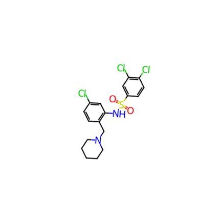 O=S(=O)(Nc1cc(Cl)ccc1CN1CCCCC1)c1ccc(Cl)c(Cl)c1